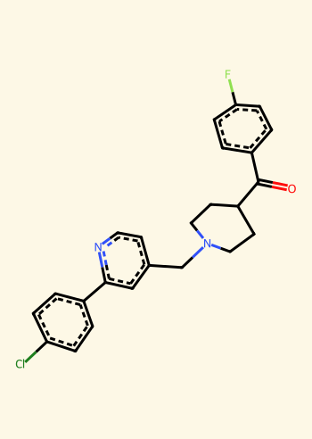 O=C(c1ccc(F)cc1)C1CCN(Cc2ccnc(-c3ccc(Cl)cc3)c2)CC1